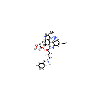 C#Cc1cccc(Nc2c(C#N)cnc3cc(O[C@H]4CCOC4)c(NC(=O)/C=C/CN(C)Cc4ccccc4)cc23)c1